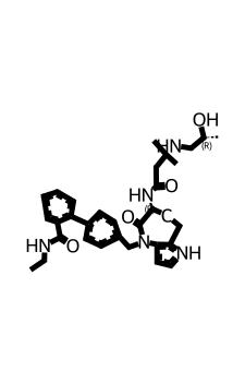 CCNC(=O)c1ccccc1-c1ccc(CN2C(=O)[C@H](NC(=O)CC(C)(C)NC[C@@H](C)O)CCc3[nH]ccc32)cc1